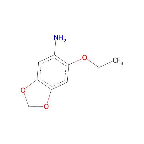 Nc1cc2c(cc1OCC(F)(F)F)OCO2